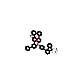 CC1(C)c2ccccc2-c2c(-c3ccc(N(c4ccc(-c5ccccc5)cc4)c4ccc(-c5ccccc5)cc4-c4ccc5c(c4)oc4ccccc45)cc3)cccc21